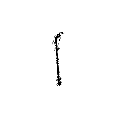 C[C@H](NC(=O)CNC(=O)CCCNC(=O)CCOCCOCCOCCOCCOCCOCCOCCOCCNC(=O)CCN1C(=O)C=CC1=O)C(=O)Nc1ccc(CO)cc1